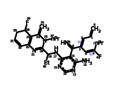 C=C/C=C(\C=C(\F)CCC)C(=N)c1c(N)ncnc1NC(CC)C1=NC2=C(C(=C)N1CCC)C(F)CC=C2